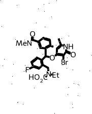 CCN(Cc1cc(F)ccc1C(Oc1cc(C)[nH]c(=O)c1Br)c1cc(C(=O)NC)ccc1C)C(=O)O